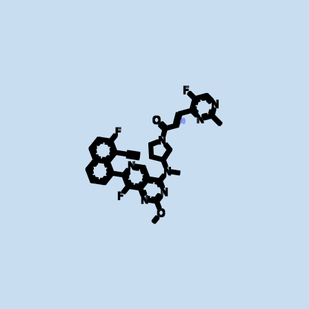 C#Cc1c(F)ccc2cccc(-c3ncc4c(N(C)C5CCN(C(=O)/C=C/c6nc(C)ncc6F)C5)nc(OC)nc4c3F)c12